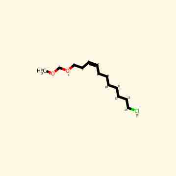 COCOCC/C=C\CCCCCCCCl